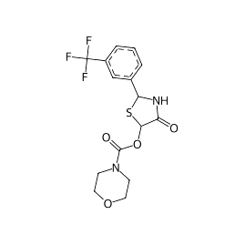 O=C1NC(c2cccc(C(F)(F)F)c2)SC1OC(=O)N1CCOCC1